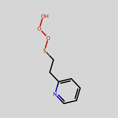 OOOSCCc1ccccn1